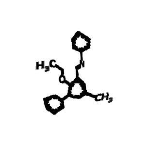 CCOc1c(/C=N/c2ccccc2)cc(C)cc1-c1ccccc1